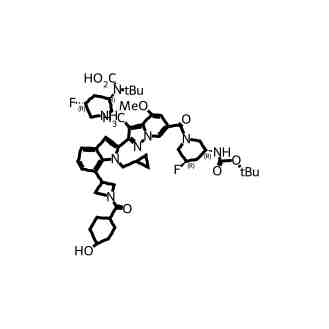 CC(C)(C)N(C(=O)O)[C@H]1CNC[C@H](F)C1.COc1cc(C(=O)N2C[C@H](F)C[C@@H](NC(=O)OC(C)(C)C)C2)cn2nc(-c3cc4cccc(C5CN(C(=O)C6CCC(O)CC6)C5)c4n3CC3CC3)c(C)c12